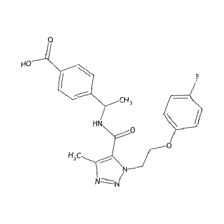 Cc1nnn(CCOc2ccc(F)cc2)c1C(=O)NC(C)c1ccc(C(=O)O)cc1